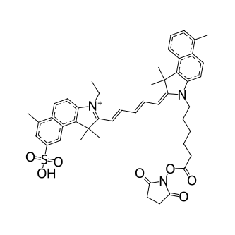 CC[N+]1=C(/C=C/C=C/C=C2/N(CCCCCC(=O)ON3C(=O)CCC3=O)c3ccc4c(C)cccc4c3C2(C)C)C(C)(C)c2c1ccc1c(C)cc(S(=O)(=O)O)cc21